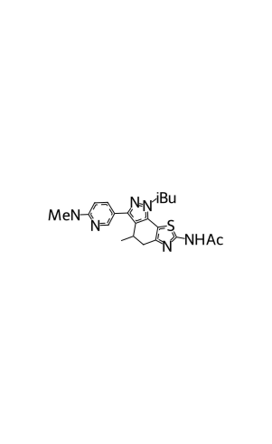 CCC(C)n1nc(-c2ccc(NC)nc2)c2c1-c1sc(NC(C)=O)nc1CC2C